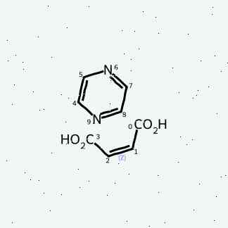 O=C(O)/C=C\C(=O)O.c1cnccn1